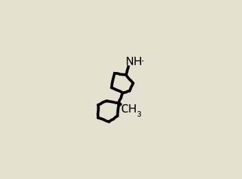 CC1(C2CCC([NH])CC2)CCCCC1